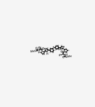 COC(=O)N[C@H](C(=O)N1CCCC1c1ncc(-c2cccc(Sc3ccc(-c4cnc([C@@H]5CCCN5C(=O)[C@@H](NC(=O)OC)C(C)C)[nH]4)cc3)c2)[nH]1)C(C)C